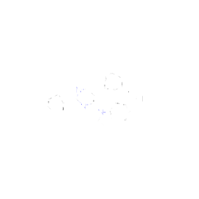 CC1(C)c2ccccc2-c2c1ccc1ccn(-c3ccnc(-c4ccccc4)n3)c21